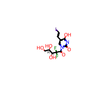 O=C(n1cc(C=CI)c(O)nc1=O)C(F)(F)[C@H](O)[C@H](O)CO